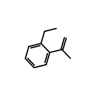 C=C(C)c1ccccc1CC